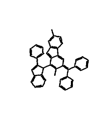 Cc1ccc2c(c1)[C]=c1c-2cc(=C(c2ccccc2)c2ccccc2)c(C)c1C1C(c2ccccc2)=Cc2ccccc21